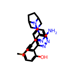 CSC#Cc1cc(N2C3CCC2CN(c2cc(-c4ccccc4O)nnc2N)C3)ccn1